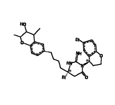 CCc1ccc2c(c1)[C@H](N1C(=N)N[C@](CC)(CCCCc3ccc4c(c3)C(C)C(O)C(C)O4)CC1=O)CCO2